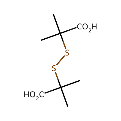 CC(C)(SSC(C)(C)C(=O)O)C(=O)O